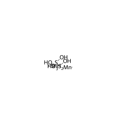 O=S(=O)(O)O.O=S(=O)(O)O.[Mn].[SnH2]